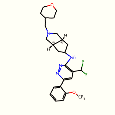 FC(F)c1cc(-c2ccccc2OC(F)(F)F)nnc1NC1C[C@@H]2CN(CC3CCOCC3)C[C@@H]2C1